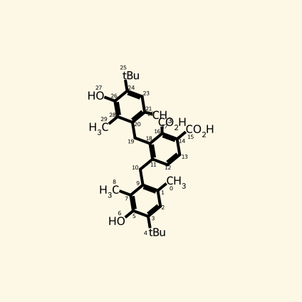 Cc1cc(C(C)(C)C)c(O)c(C)c1Cc1ccc(C(=O)O)c(C(=O)O)c1Cc1c(C)cc(C(C)(C)C)c(O)c1C